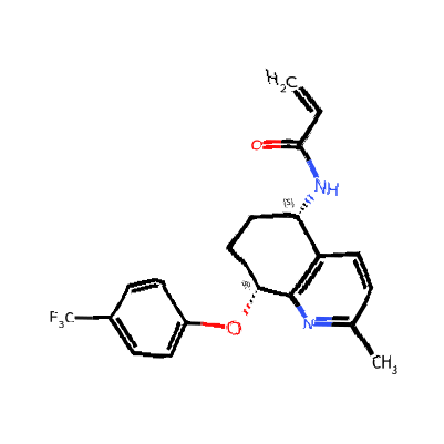 C=CC(=O)N[C@H]1CC[C@@H](Oc2ccc(C(F)(F)F)cc2)c2nc(C)ccc21